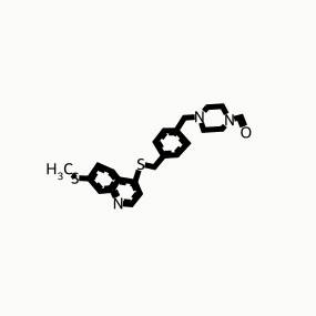 CSc1ccc2c(SCc3ccc(CN4CCN(C=O)CC4)cc3)ccnc2c1